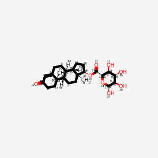 C[C@]12CC[C@H]3[C@@H](CCC4=CC(=O)CC[C@@]43C)[C@@H]1CC[C@@H]2OC(=O)[C@H]1O[C@@H](O)[C@H](O)[C@@H](O)[C@@H]1O